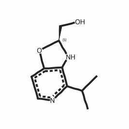 CC(C)c1nccc2c1N[C@H](CO)O2